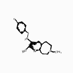 COc1nc2c(cc1NSc1ccc(Cl)cc1)CCN(C)CC2